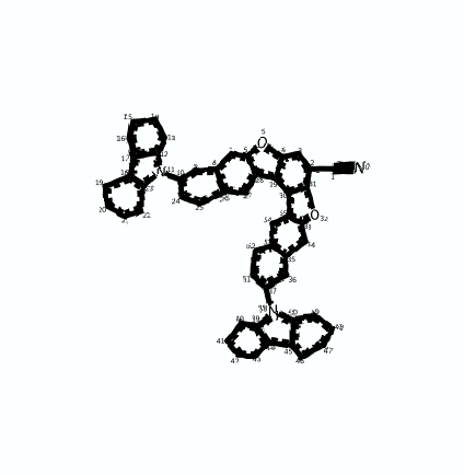 N#Cc1cc2oc3cc4cc(-n5c6ccccc6c6ccccc65)ccc4cc3c2c2c1oc1cc3cc(-n4c5ccccc5c5ccccc54)ccc3cc12